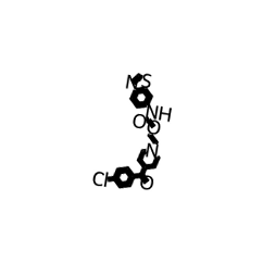 O=C(Nc1ccc2ncsc2c1)OCCN1CCC(C(=O)c2ccc(Cl)cc2)CC1